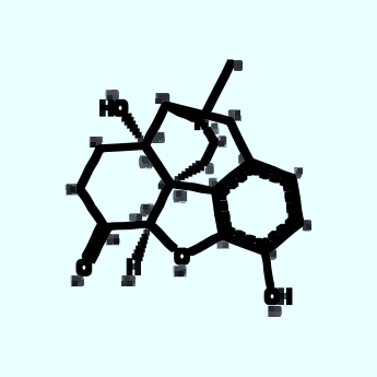 CN1CC[C@]23c4c5ccc(O)c4O[C@H]2C(=O)CC[C@@]3(O)C1C5